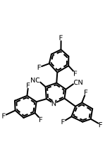 N#Cc1c(-c2c(F)cc(F)cc2F)nc(-c2c(F)cc(F)cc2F)c(C#N)c1-c1c(F)cc(F)cc1F